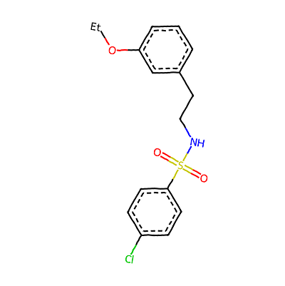 CCOc1cccc(CCNS(=O)(=O)c2ccc(Cl)cc2)c1